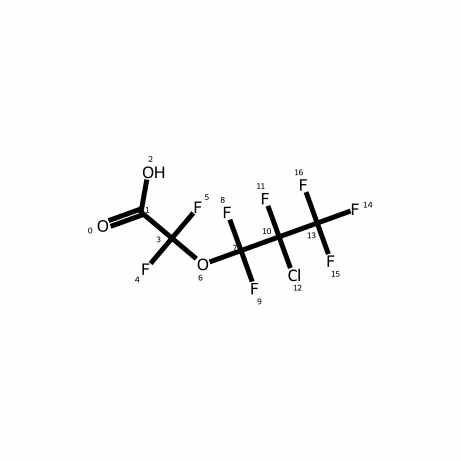 O=C(O)C(F)(F)OC(F)(F)C(F)(Cl)C(F)(F)F